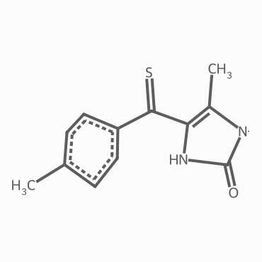 CC1=C(C(=S)c2ccc(C)cc2)NC(=O)[N]1